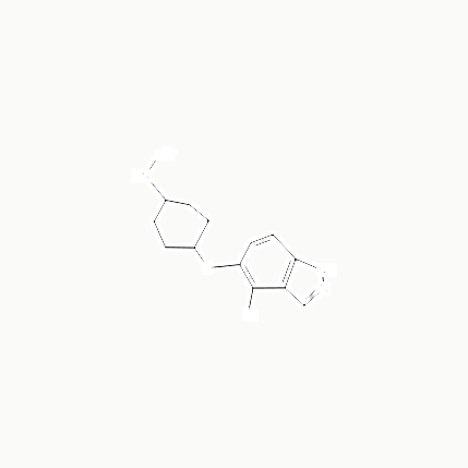 CCCNC1CCC(Oc2ccc3[nH]ncc3c2CC)CC1